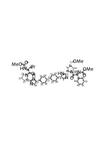 COC[C@H]1C[C@@H](c2ncc(-c3ccc(-c4ccc(-c5cnc([C@@H]6CCCN6C(=O)[C@@H](NC(=O)OC)C(C)C)[nH]5)cc4)cc3)[nH]2)N(C(=O)[C@H](NC(=O)OC)c2ccccc2)C1